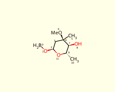 BO[C@H]1C[C@@](C)(OC)[C@@H](O)[C@H](C)O1